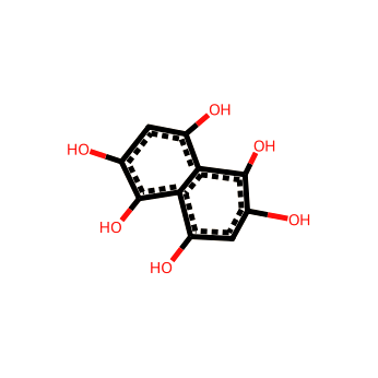 Oc1cc(O)c2c(O)c(O)cc(O)c2c1O